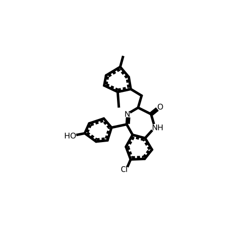 Cc1ccc(C)c(CC2N=C(c3ccc(O)cc3)c3cc(Cl)ccc3NC2=O)c1